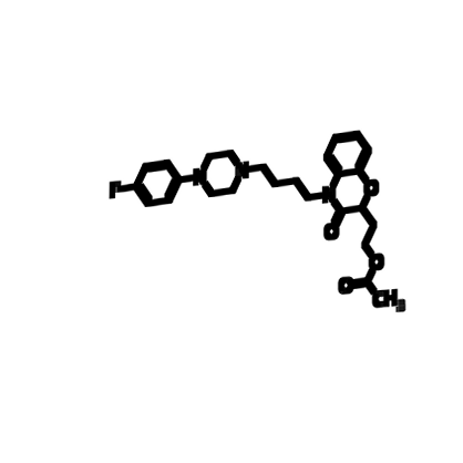 CC(=O)OCCC1Oc2ccccc2N(CCCCN2CCN(c3ccc(F)cc3)CC2)C1=O